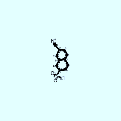 N#Cc1ccc2ccc(S(=O)(=O)Cl)cc2c1